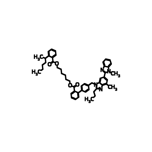 CCCCC(C)c1ccccc1C(=O)OCCCCCCOC(=O)c1ccccc1-c1ccc(Cn2c(CCC)nc3c(C)cc(-c4nc5ccccc5n4C)cc32)cc1